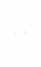 O=C(O)c1ccc2cccc(OCCCOc3cccc4ccc(C(=O)O)nc34)c2n1